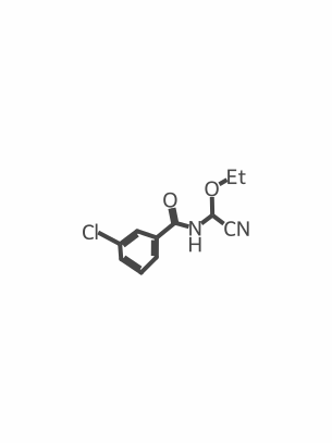 CCOC(C#N)NC(=O)c1cccc(Cl)c1